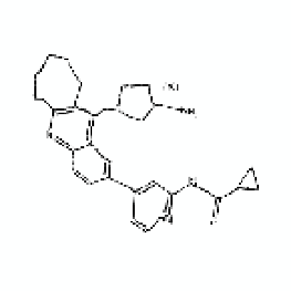 Cl.NC1CCN(c2c3c(nc4ccc(-c5ccnc(NC(=O)C6CC6)c5)cc24)CCCCC3)C1